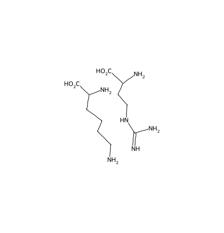 N=C(N)NCCC(N)C(=O)O.NCCCCC(N)C(=O)O